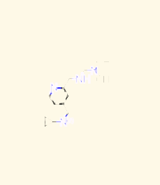 CN(C)CNCc1cc(/C=N\C2CC2)ccn1